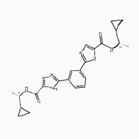 C[C@H](NC(=O)c1nnc(-c2cccc(-c3ncc(C(=O)N[C@@H](C)C4CC4)o3)c2)[nH]1)C1CC1